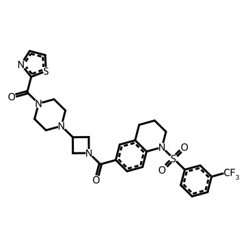 O=C(c1ccc2c(c1)CCCN2S(=O)(=O)c1cccc(C(F)(F)F)c1)N1CC(N2CCN(C(=O)c3nccs3)CC2)C1